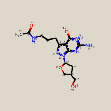 Nc1nc2c(c(CCCNC(=O)C(F)(F)F)nn2[C@H]2CC(CO)CO2)c(=O)[nH]1